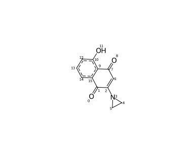 O=C1C(N2CC2)=CC(=O)c2c(O)cccc21